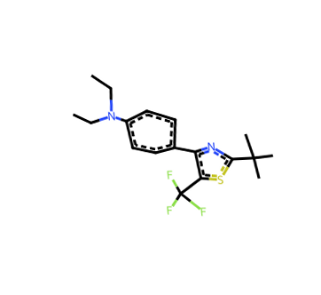 CCN(CC)c1ccc(-c2nc(C(C)(C)C)sc2C(F)(F)F)cc1